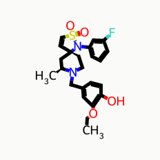 CCOc1cc(CN2CC[C@]3(C=CS(=O)(=O)N3c3cccc(F)c3)C[C@@H]2C)ccc1O